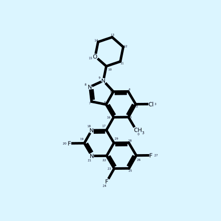 Cc1c(Cl)cc2c(cnn2C2CCCCO2)c1-c1nc(F)nc2c(F)cc(F)cc12